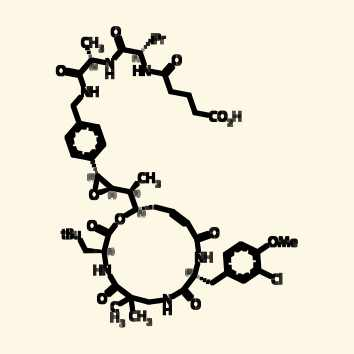 COc1ccc(C[C@H]2NC(=O)C=CC[C@@H]([C@H](C)[C@H]3O[C@@H]3c3ccc(CNC(=O)[C@H](C)NC(=O)[C@@H](NC(=O)CCCC(=O)O)C(C)C)cc3)OC(=O)[C@H](CC(C)(C)C)NC(=O)C(C)(C)CNC2=O)cc1Cl